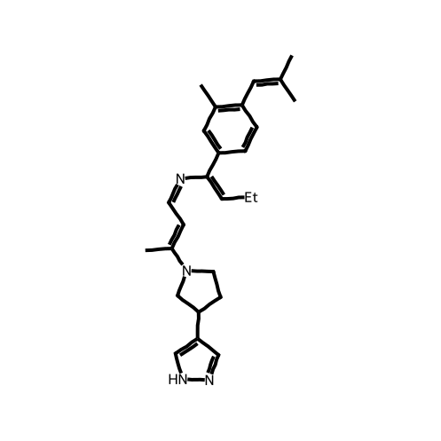 CC/C=C(/N=C\C=C(/C)N1CCC(c2cn[nH]c2)C1)c1ccc(C=C(C)C)c(C)c1